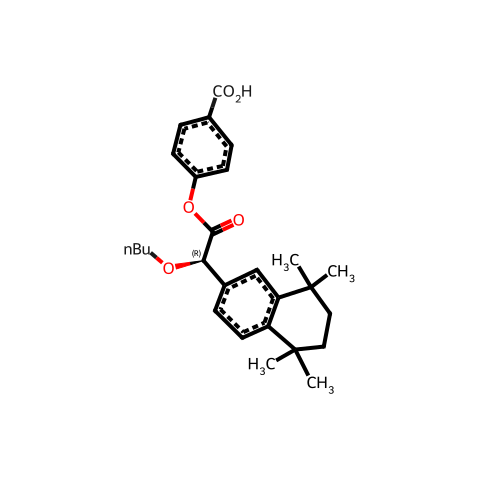 CCCCO[C@@H](C(=O)Oc1ccc(C(=O)O)cc1)c1ccc2c(c1)C(C)(C)CCC2(C)C